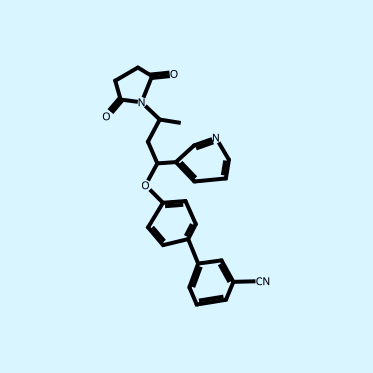 CC(CC(Oc1ccc(-c2cccc(C#N)c2)cc1)c1cccnc1)N1C(=O)CCC1=O